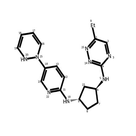 CCc1cnc(N[C@H]2CC[C@H](Nc3ccc(N4C=CC=CN4)cn3)C2)nn1